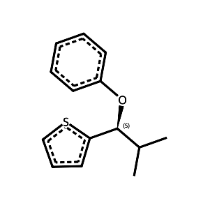 CC(C)[C@H](Oc1ccccc1)c1cccs1